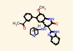 COc1cc2[nH]c(=O)c(-c3nc4ccccc4[nH]3)c(N[C@H]3CN4CCC3CC4)c2cc1-c1cccc(C(C)=O)c1